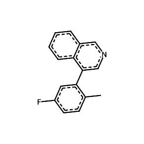 Cc1ccc(F)cc1-c1cncc2ccccc12